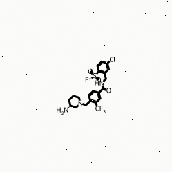 CCS(=O)(=O)c1ccc(Cl)cc1CNC(=O)c1ccc(CN2CCC[C@@H](N)C2)c(C(F)(F)F)c1